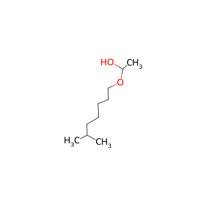 CC(C)CCCCCOC(C)O